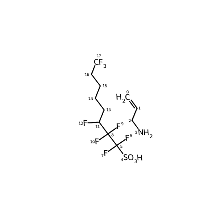 C=CCN.O=S(=O)(O)C(F)(F)C(F)(F)C(F)CCCCC(F)(F)F